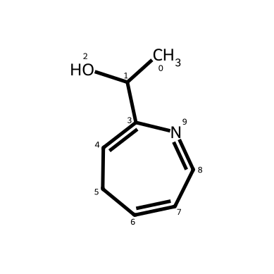 CC(O)C1=CCC=CC=N1